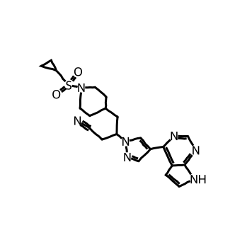 N#CCC(CC1CCN(S(=O)(=O)C2CC2)CC1)n1cc(-c2ncnc3[nH]ccc23)cn1